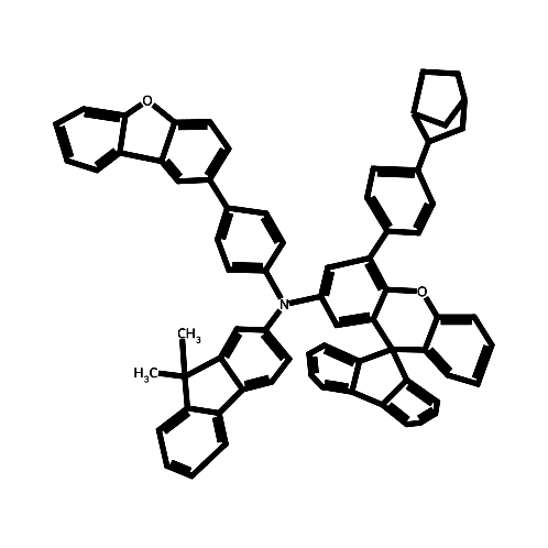 CC1(C)c2ccccc2-c2ccc(N(c3ccc(-c4ccc5oc6ccccc6c5c4)cc3)c3cc(-c4ccc(C5CC6CCC5C6)cc4)c4c(c3)C3(c5ccccc5O4)c4ccccc4-c4ccccc43)cc21